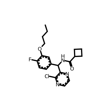 CCCCOc1cc(C(NC(=O)C2CCC2)c2nccnc2Cl)ccc1F